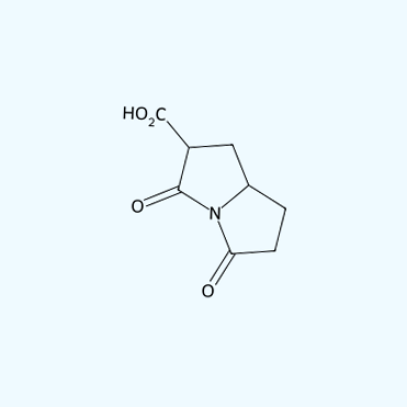 O=C(O)C1CC2CCC(=O)N2C1=O